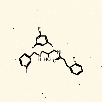 O=C(CCc1ccccc1F)N[C@@H](Cc1cc(F)cc(F)c1)[C@@H](O)CNCc1cccc(I)c1